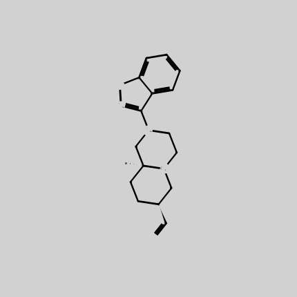 O=C[C@H]1CC[C@H]2CN(c3noc4ccccc34)CCN2C1